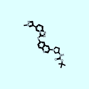 Cn1cc(-c2ccc3nnc(Sc4ccc5ncc(N6CCC(NC(=O)OC(C)(C)C)C6)cc5c4)n3c2)cn1